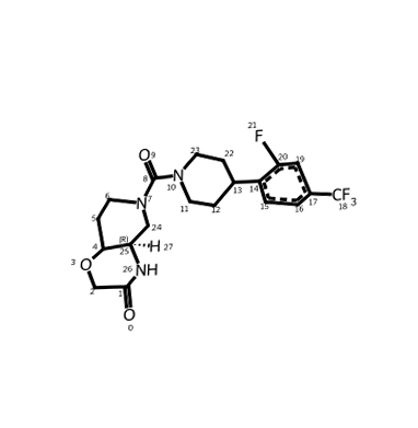 O=C1COC2CCN(C(=O)N3CCC(c4ccc(C(F)(F)F)cc4F)CC3)C[C@H]2N1